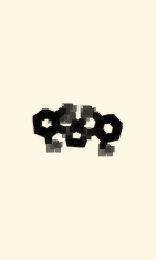 COC1(F)N(c2c(C(C)C)cccc2C(C)C)C=CN1c1c(C(C)C)cccc1C(C)C